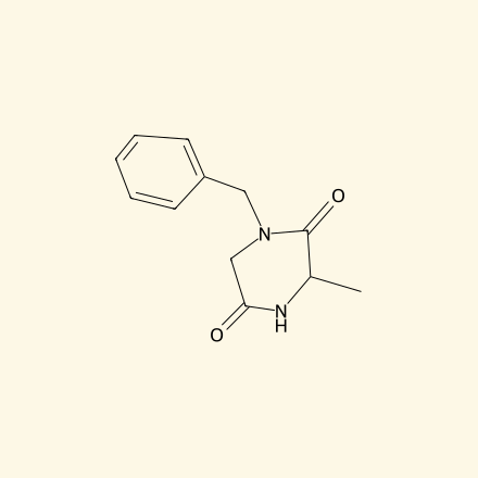 CC1NC(=O)CN(Cc2ccccc2)C1=O